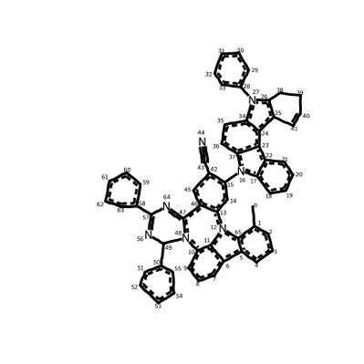 Cc1cccc2c3cccc4c3n(c3cc(-n5c6ccccc6c6c7c8c(n(-c9ccccc9)c7ccc65)CCC=C8)c(C#N)cc3c3n4C(c4ccccc4)N=C(c4ccccc4)N=3)c12